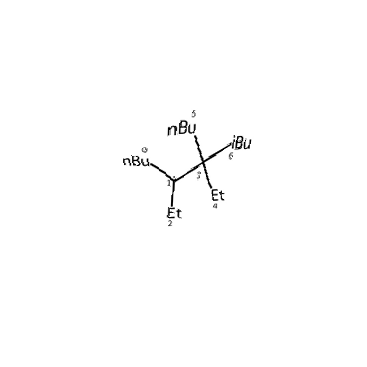 CCCC[C](CC)C(CC)(CCCC)C(C)CC